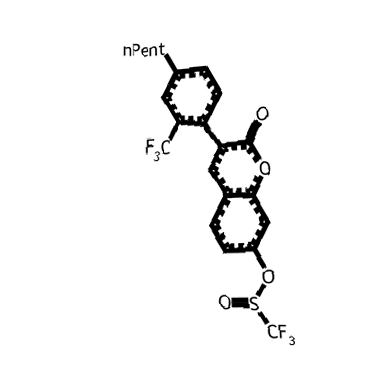 CCCCCc1ccc(-c2cc3ccc(OS(=O)C(F)(F)F)cc3oc2=O)c(C(F)(F)F)c1